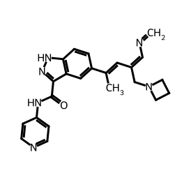 C=N/C=C(\C=C(/C)c1ccc2[nH]nc(C(=O)Nc3ccncc3)c2c1)CN1CCC1